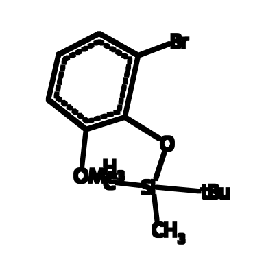 COc1cccc(Br)c1O[Si](C)(C)C(C)(C)C